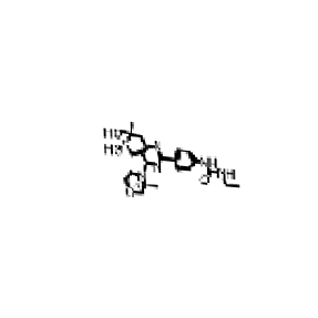 CCNC(=O)Nc1ccc(-c2nc3c(c(N4CCOC[C@@H]4C)n2)CS(O)(O)C(C)(C)C3)cc1